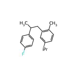 Cc1ccc(C(C)C)cc1CC(C)c1ccc(F)cc1